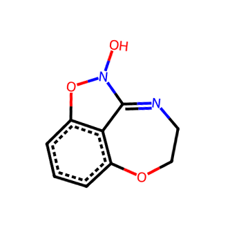 ON1Oc2cccc3c2C1=NCCO3